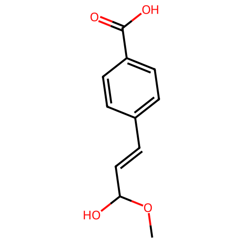 COC(O)/C=C/c1ccc(C(=O)O)cc1